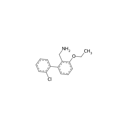 CCOc1cccc(-c2ccccc2Cl)c1CN